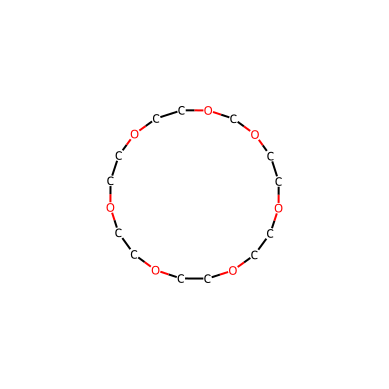 C1COCCOCCOCOCCOCCOCCO1